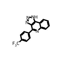 FC(F)(F)c1ccc(-c2nc3ccccc3c3[nH]nnc23)cc1